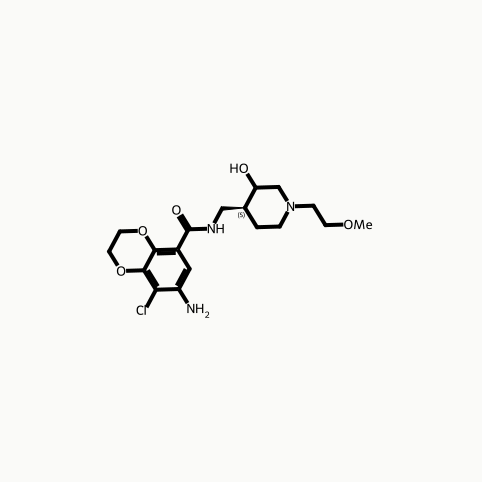 COCCN1CC[C@@H](CNC(=O)c2cc(N)c(Cl)c3c2OCCO3)C(O)C1